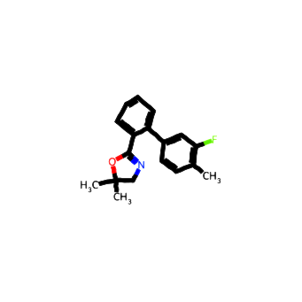 Cc1ccc(-c2ccccc2C2=NCC(C)(C)O2)cc1F